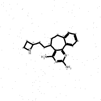 Nc1nc(N)c2c(n1)-c1ccccc1CCC2CCC1CCN1